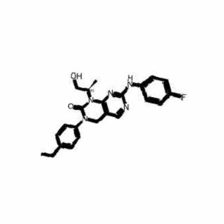 CCc1ccc(N2Cc3cnc(Nc4ccc(F)cc4)nc3N([C@H](C)CO)C2=O)cc1